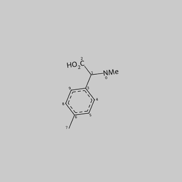 CNC(C(=O)O)c1ccc(C)cc1